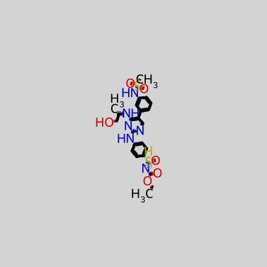 CCOC(=O)/N=[SH](=O)/c1ccc(Nc2ncc(-c3cccc(NS(C)(=O)=O)c3)c(N[C@H](C)CO)n2)cc1